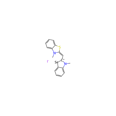 CN1C(=C[c+]2[se]c3ccccc3n2C)Sc2ccccc21.[I-]